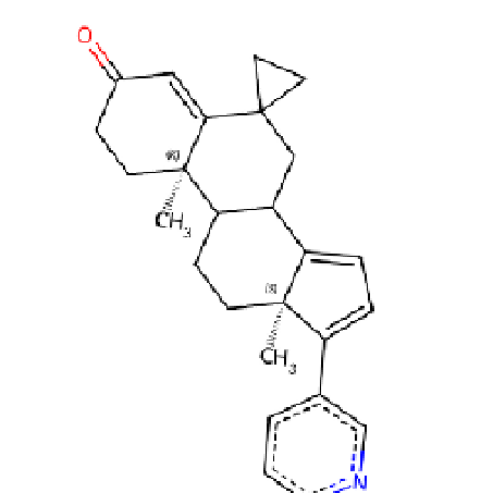 C[C@]12CCC3C(CC4(CC4)C4=CC(=O)CC[C@@]43C)C1=CC=C2c1cccnc1